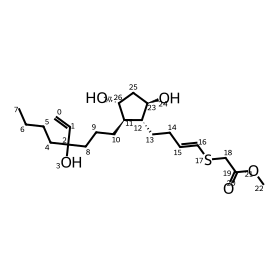 C=CC(O)(CCCC)CCC[C@@H]1[C@@H](CCC=CSCC(=O)OC)[C@H](O)C[C@H]1O